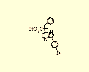 CCOC(=O)C(C)(Cc1ccccc1)c1ccnc2c(-c3ccc(C4CC4)cc3)cnn12